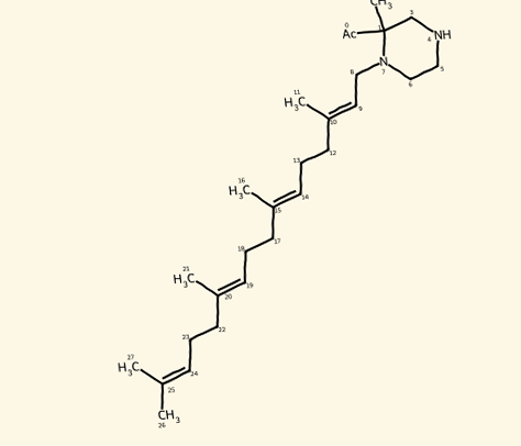 CC(=O)C1(C)CNCCN1C/C=C(\C)CC/C=C(\C)CC/C=C(\C)CCC=C(C)C